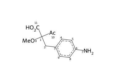 COC(Cc1ccc(N)cc1)(C(C)=O)C(=O)O